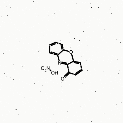 O=[N+]([O-])O.O=c1cccc2oc3ccccc3nc1-2